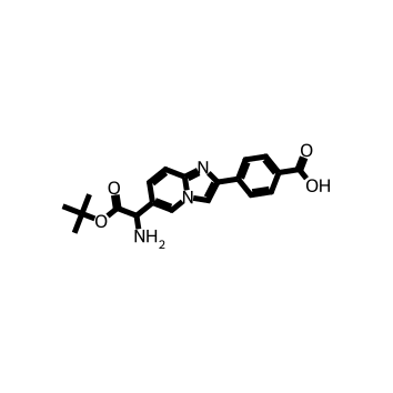 CC(C)(C)OC(=O)C(N)c1ccc2nc(-c3ccc(C(=O)O)cc3)cn2c1